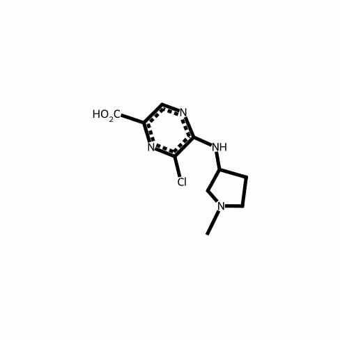 CN1CCC(Nc2ncc(C(=O)O)nc2Cl)C1